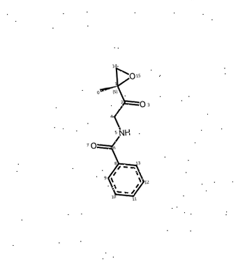 C[C@@]1(C(=O)CNC(=O)c2ccccc2)CO1